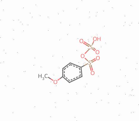 COc1ccc(S(=O)(=O)OS(=O)(=O)O)cc1